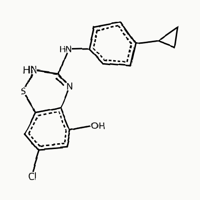 Oc1cc(Cl)cc2c1N=C(Nc1ccc(C3CC3)cc1)NS2